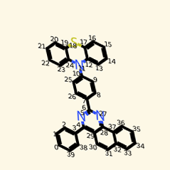 c1ccc(-c2nc(-c3ccc(N4c5ccccc5Sc5ccccc54)cc3)nc3c2ccc2ccccc23)cc1